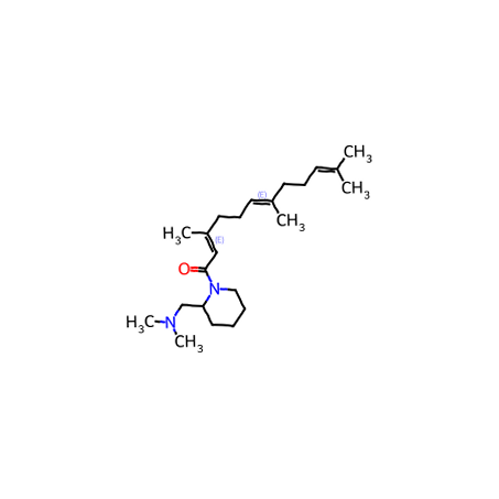 CC(C)=CCC/C(C)=C/CC/C(C)=C/C(=O)N1CCCCC1CN(C)C